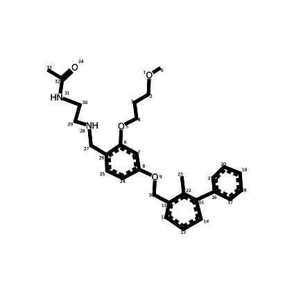 COCCCOc1cc(OCc2cccc(-c3ccccc3)c2C)ccc1CNCCNC(C)=O